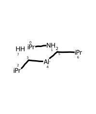 CC(C)N.CC(C)[CH2][Al][CH2]C(C)C.[HH]